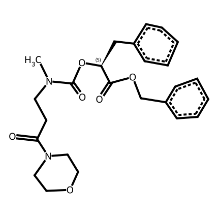 CN(CCC(=O)N1CCOCC1)C(=O)O[C@@H](Cc1ccccc1)C(=O)OCc1ccccc1